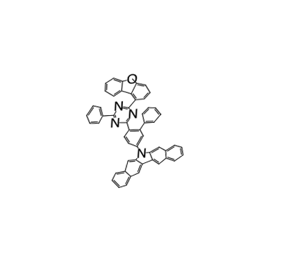 c1ccc(-c2nc(-c3ccc(-n4c5cc6ccccc6cc5c5cc6ccccc6cc54)cc3-c3ccccc3)nc(-c3cccc4oc5ccccc5c34)n2)cc1